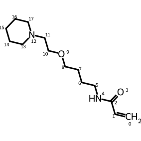 C=CC(=O)NCCCCOCCN1CCCCC1